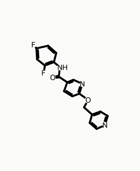 O=C(Nc1ccc(F)cc1F)c1ccc(OCc2ccncc2)nc1